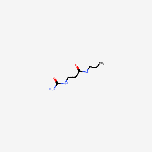 CCCNC(=O)CCNC(N)=O